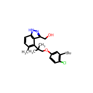 Cc1ccc2[nH]nc(CO)c2c1C(C)(C)COc1ccc(Cl)c(C(C)(C)C)c1